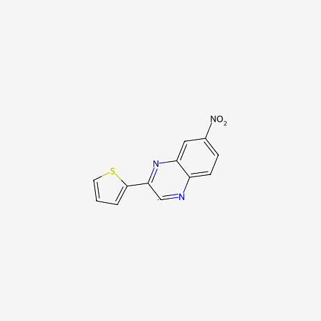 O=[N+]([O-])c1ccc2n[c]c(-c3cccs3)nc2c1